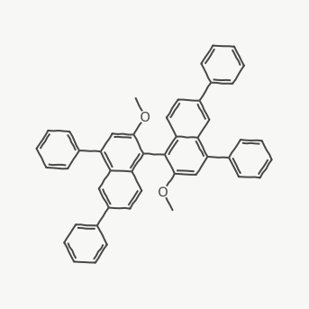 COc1cc(-c2ccccc2)c2cc(-c3ccccc3)ccc2c1-c1c(OC)cc(-c2ccccc2)c2cc(-c3ccccc3)ccc12